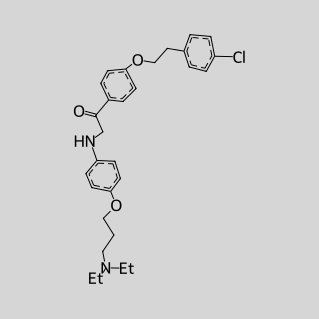 CCN(CC)CCCOc1ccc(NCC(=O)c2ccc(OCCc3ccc(Cl)cc3)cc2)cc1